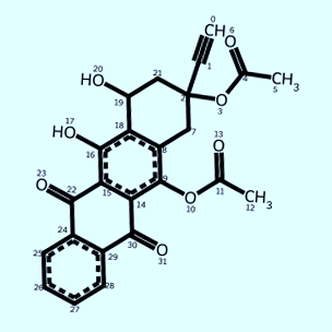 C#CC1(OC(C)=O)Cc2c(OC(C)=O)c3c(c(O)c2C(O)C1)C(=O)c1ccccc1C3=O